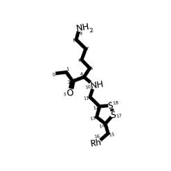 CCC(=O)C(CCCCN)NCC1CC([CH2][Rh])SS1